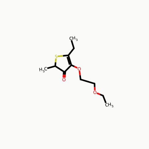 CCOCCOC1=C(CC)SC(C)C1=O